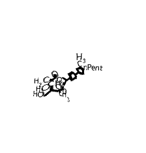 C=C(C)C(=O)OCC(COC(=O)C(C)(C)CC(CO)CO)c1ccc(-c2ccc(CCCCC)c(C)c2)cc1